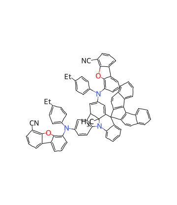 CCc1ccc(N(C2=CC3c4cc(N(c5ccc(CC)cc5)c5cccc6c5oc5c(C#N)cccc56)ccc4N4c5ccccc5C5(C(=C2)C34C)c2ccc3ccccc3c2-c2c5ccc3ccccc23)c2cccc3c2oc2c(C#N)cccc23)cc1